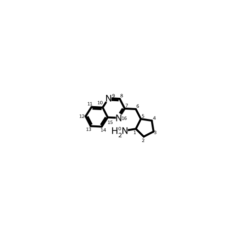 NC1CCCC1Cc1cnc2ccccc2n1